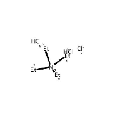 CC[N+](CC)(CC)CC.Cl.Cl.[Cl-]